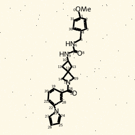 COc1ccc(CNC(=O)NC2CC3(C2)CN(C(=O)c2cccc(-n4cccc4)c2)C3)cc1